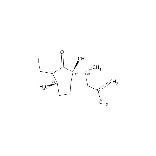 C=C(C)C[C@@H](C)[C@@]1(C)C(=O)C(CI)[C@@]2(C)CCC21